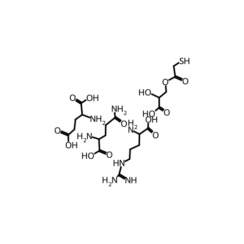 N=C(N)NCCCC(N)C(=O)O.NC(=O)CCC(N)C(=O)O.NC(CCC(=O)O)C(=O)O.O=C(CS)OCC(O)C(=O)O